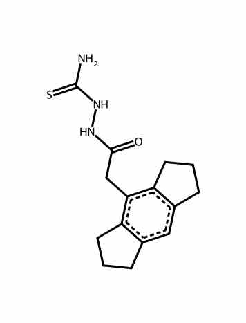 NC(=S)NNC(=O)Cc1c2c(cc3c1CCC3)CCC2